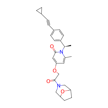 Cc1cc(OCC(=O)N2CC3CCC(C2)O3)cc(=O)n1[C@H](C)c1ccc(C#CC2CC2)cc1